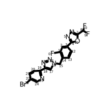 Fc1cc(-c2nnc(C(F)F)o2)ccc1Cn1cc(-c2ccc(Br)cn2)nn1